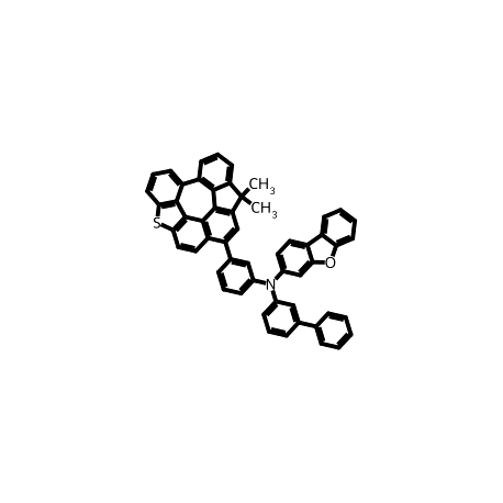 CC1(C)c2cccc3c2-c2c1cc(-c1cccc(N(c4cccc(-c5ccccc5)c4)c4ccc5c(c4)oc4ccccc45)c1)c1ccc4sc5cccc-3c5c4c21